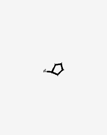 CC(C)C1C[CH]CC1